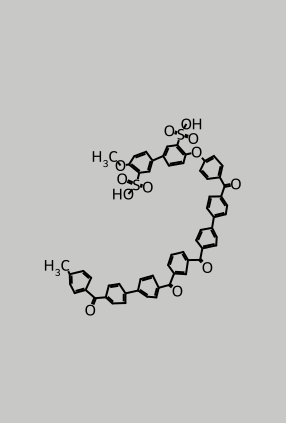 COc1ccc(-c2ccc(Oc3ccc(C(=O)c4ccc(-c5ccc(C(=O)c6cccc(C(=O)c7ccc(-c8ccc(C(=O)c9ccc(C)cc9)cc8)cc7)c6)cc5)cc4)cc3)c(S(=O)(=O)O)c2)cc1S(=O)(=O)O